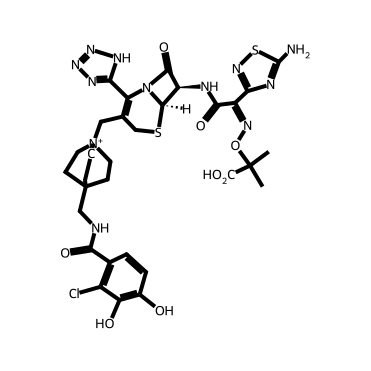 CC(C)(O/N=C(\C(=O)N[C@@H]1C(=O)N2C(c3nnn[nH]3)=C(C[N+]34CCC(CNC(=O)c5ccc(O)c(O)c5Cl)(CC3)CC4)CS[C@H]12)c1nsc(N)n1)C(=O)O